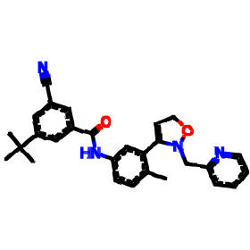 Cc1ccc(NC(=O)c2cc(C#N)cc(C(C)(C)C)c2)cc1C1=CCON1Cc1ccccn1